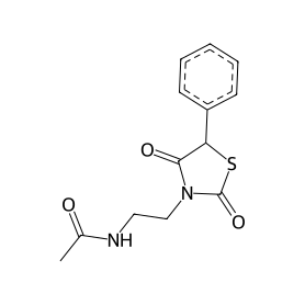 CC(=O)NCCN1C(=O)SC(c2ccccc2)C1=O